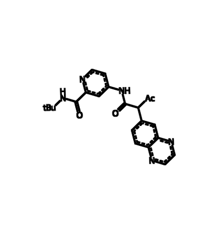 CC(=O)C(C(=O)Nc1ccnc(C(=O)NC(C)(C)C)c1)c1ccc2nccnc2c1